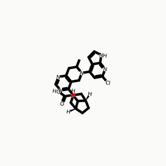 CC1Cc2ncnc(N3C[C@H]4CC[C@@H](C3)C4NC(=O)O)c2CN1c1cc(Cl)nc2[nH]ccc12